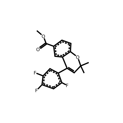 COC(=O)c1ccc2c(c1)C(c1cc(F)c(F)cc1F)=CC(C)(C)O2